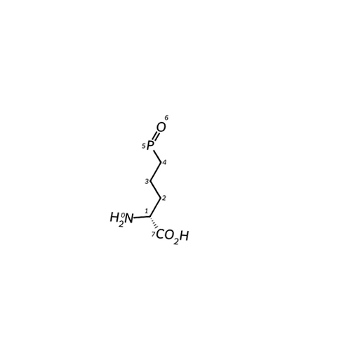 N[C@H](CCCP=O)C(=O)O